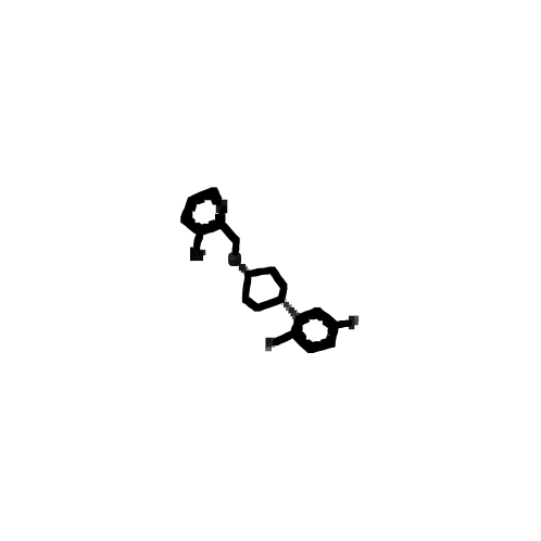 Fc1ccc(F)c([C@H]2CC[C@@H](OCc3ncccc3Br)CC2)c1